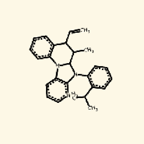 C=CC1c2ccccc2N2c3cccnc3N(c3ccccc3C(C)C)C2C1C